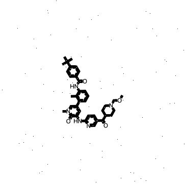 COCN1CCC(C(=O)c2ccc(Nc3cc(-c4cccc(NC(=O)c5ccc(C(C)(C)C)cc5)c4C)cn(C)c3=O)nc2)CC1